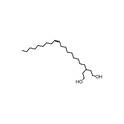 CCCCCCCC/C=C\CCCCCCCCC(CCO)CCO